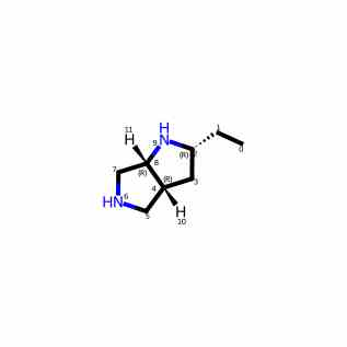 CC[C@@H]1C[C@@H]2CNC[C@@H]2N1